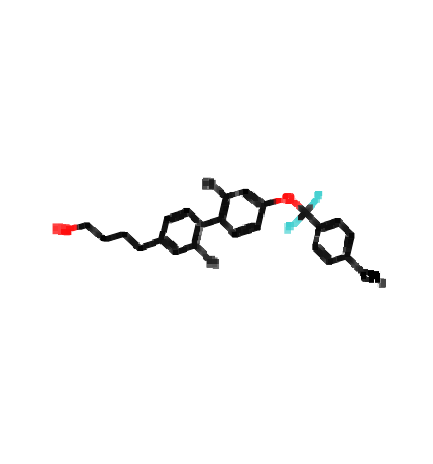 CCc1cc(CCCCO)ccc1-c1ccc(OC(F)(F)c2ccc(C)cc2)cc1CC